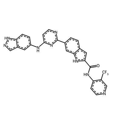 O=C(Nc1ccncc1C(F)(F)F)c1cc2ccc(-c3nccc(Nc4ccc5[nH]ncc5c4)n3)cc2[nH]1